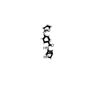 O=C(NC1CC2CNC1C2)c1ccc(SN2CC=CO2)cc1